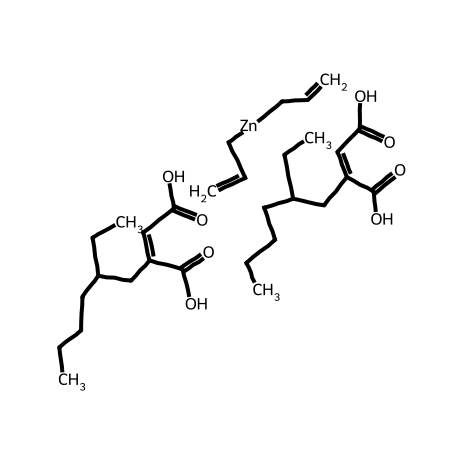 C=C[CH2][Zn][CH2]C=C.CCCCC(CC)CC(=CC(=O)O)C(=O)O.CCCCC(CC)CC(=CC(=O)O)C(=O)O